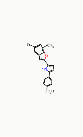 CCc1cc(C)c2oc(-c3ccc(-c4ccc(C(=O)O)cc4)[nH]3)cc2c1